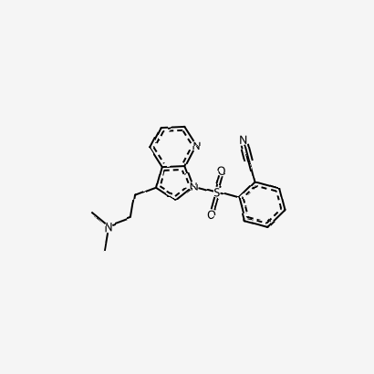 CN(C)CCc1cn(S(=O)(=O)c2ccccc2C#N)c2ncccc12